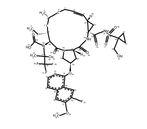 CC[C@@H]1C[C@H](C)CCC=C[C@@H]2C[C@@]2(C(=O)NS(=O)(=O)C2(CO)CC2)NC(=O)[C@@H]2C[C@@H](Oc3nccc4cc(OC)c(F)cc34)CN2C(=O)[C@H]1N(C(=O)O)C(C)(C)C(F)(F)F